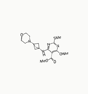 COC(=O)c1c(NC23CC(N4CCOCC4)(C2)C3)nc(SC)nc1OC